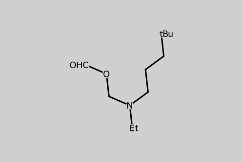 CCN(CCCC(C)(C)C)COC=O